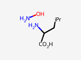 CC(C)CC(N)C(=O)O.NO